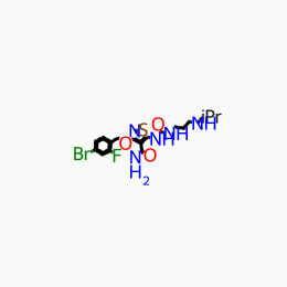 CC(C)NCCCNC(=O)Nc1snc(OCc2ccc(Br)cc2F)c1C(N)=O